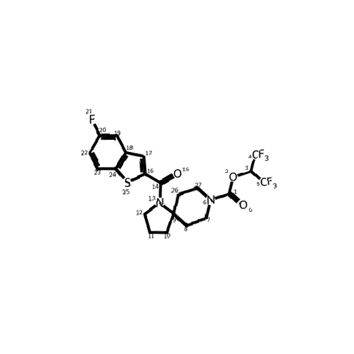 O=C(OC(C(F)(F)F)C(F)(F)F)N1CCC2(CCCN2C(=O)c2cc3cc(F)ccc3s2)CC1